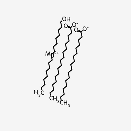 CCCCCCCCCCCCCCCCCC(=O)[O-].CCCCCCCCCCCCCCCCCC(=O)[O-].CCCCCCCCCCCCCCCCCCO.[Mg+2]